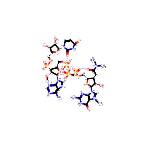 CO[C@@H]1[C@H](P(=O)([O-])OC[C@H]2O[C@@H](n3ccc(=O)[nH]c3=O)[C@H](O)[C@@H]2O)[C@@H](COP(=O)(O)OP(=O)(O)CP(=O)(O)OC[C@H]2OC(n3c[n+](C)c4c(=O)[nH]c(N)nc43)[C@H](O)[C@@H]2CC(=O)N(C)C)O[C@H]1n1cnc2c(N)ncnc21